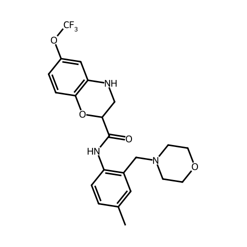 Cc1ccc(NC(=O)C2CNc3cc(OC(F)(F)F)ccc3O2)c(CN2CCOCC2)c1